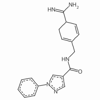 N=C(N)C1C=CC(CNC(=O)c2cnn(-c3ccccc3)c2)=CC1